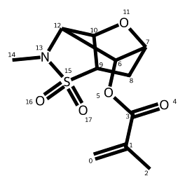 C=C(C)C(=O)OC1C2CC3C(O2)C1N(C)S3(=O)=O